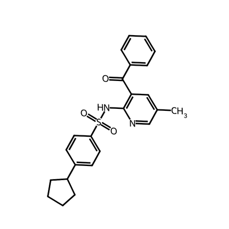 Cc1cnc(NS(=O)(=O)c2ccc(C3CCCC3)cc2)c(C(=O)c2ccccc2)c1